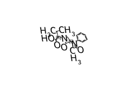 CC(=O)N(c1ccccc1)[C@H]1CN([C@@H](C(=O)O)C(C)C)C1=O